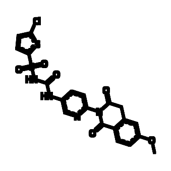 COc1ccc2c(c1)CC(=O)N(c1ccc(NC(=O)NS(=O)(=O)c3ccc(Cl)s3)cn1)C2=O